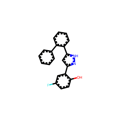 Oc1ccc(F)cc1-c1cc(-c2ccccc2-c2ccccc2)[nH]n1